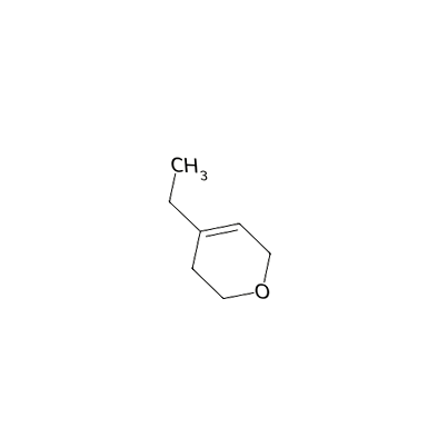 CCC1=CCOCC1